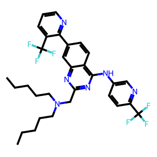 CCCCCN(CCCCC)Cc1nc(Nc2ccc(C(F)(F)F)nc2)c2ccc(-c3ncccc3C(F)(F)F)cc2n1